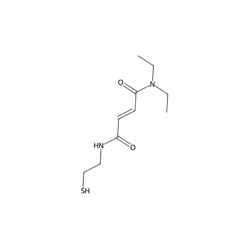 CCN(CC)C(=O)C=CC(=O)NCCS